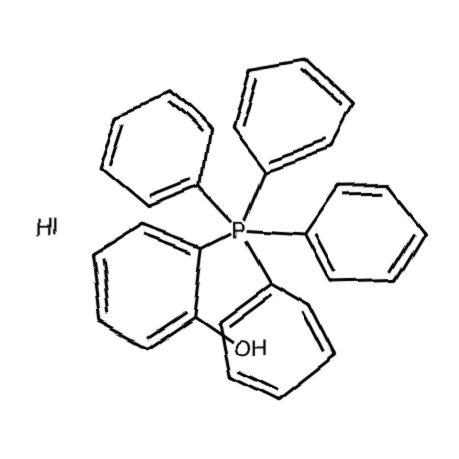 I.Oc1ccccc1P(c1ccccc1)(c1ccccc1)(c1ccccc1)c1ccccc1